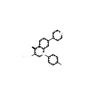 O=C(O)c1cn(-c2ccc(F)cc2)c2cc(-c3ccncc3)ccc2c1=O